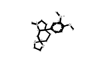 COc1ccc(C23CCN(C)C2CC2(CC3)OCCO2)cc1OC